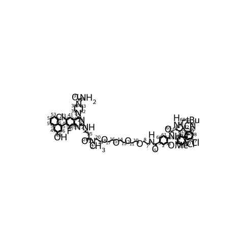 COc1cc(C(=O)NCCOCCOCCOCCOCCN(C)C(=O)CCNc2nc(N3CCN(C(N)=O)CC3)c3cc(Cl)c(-c4cc(O)cc5ccccc45)c(F)c3n2)ccc1NC(=O)[C@@H]1N[C@@H](CC(C)(C)C)[C@](C#N)(c2ccc(Cl)cc2F)[C@H]1c1cccc(Cl)c1F